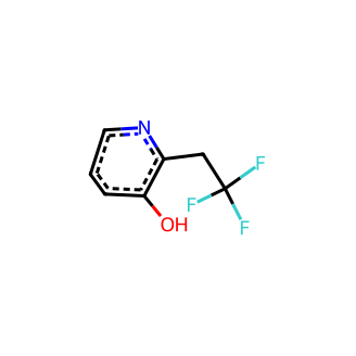 Oc1cccnc1CC(F)(F)F